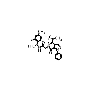 Cc1ccc([C@H](C)NC(=O)Cn2nc(C(C)C)c3cnn(-c4ccccc4)c3c2=O)c(F)c1